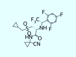 N#CC1(NC(=O)[C@H](CS(=O)(=O)CC2CC2)N[C@@H](c2c(F)cc(F)cc2F)C(F)(F)F)CC1